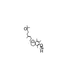 C/C(=C\CC[C@]1(C)CCc2c(C)c(O[SiH](C)C)c(C)c(C)c2O1)CCC1OC1(C)C